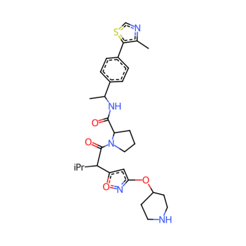 Cc1ncsc1-c1ccc(C(C)NC(=O)C2CCCN2C(=O)C(c2cc(OC3CCNCC3)no2)C(C)C)cc1